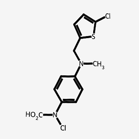 CN(Cc1ccc(Cl)s1)c1ccc(N(Cl)C(=O)O)cc1